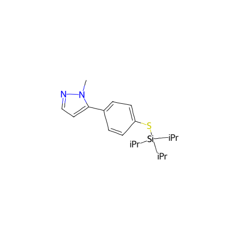 CC(C)[Si](Sc1ccc(-c2ccnn2C)cc1)(C(C)C)C(C)C